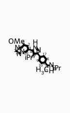 COc1cc(-c2[nH]nc(-c3ccc([C@H](C)NC(C)C)cc3)c2C(C)C)cn2ncnc12